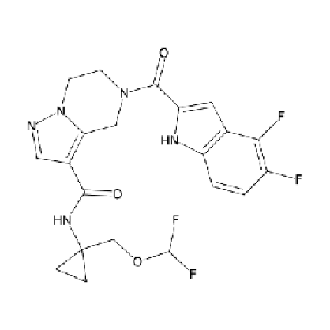 O=C(NC1(COC(F)F)CC1)c1cnn2c1CN(C(=O)c1cc3c(F)c(F)ccc3[nH]1)CC2